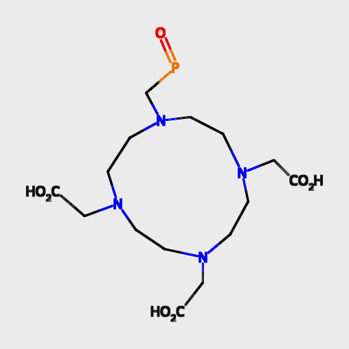 O=PCN1CCN(CC(=O)O)CCN(CC(=O)O)CCN(CC(=O)O)CC1